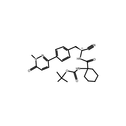 Cn1nc(-c2ccc(C[C@@H](C#N)NC(=O)C3(NC(=O)OC(C)(C)C)CCCCC3)cc2)ccc1=O